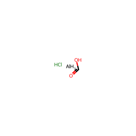 Cl.O=CO.[AlH3]